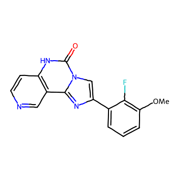 COc1cccc(-c2cn3c(=O)[nH]c4ccncc4c3n2)c1F